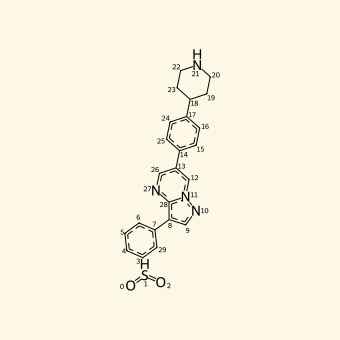 O=[SH](=O)c1cccc(-c2cnn3cc(-c4ccc(C5CCNCC5)cc4)cnc23)c1